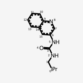 CC(C)CNC(=O)Nc1cnc2ccccc2c1